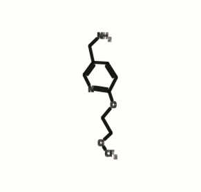 NCc1ccc(OCCOC(F)(F)F)nc1